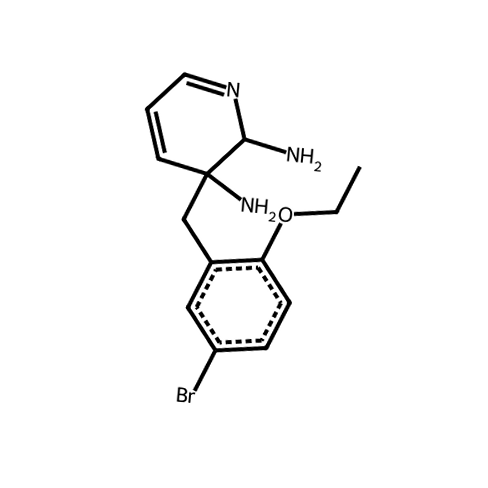 CCOc1ccc(Br)cc1CC1(N)C=CC=NC1N